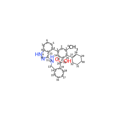 Cc1cc(-c2cccc3[nH]nc(NCc4ccccc4C(=O)O)c23)ccc1C1=CCCCC1